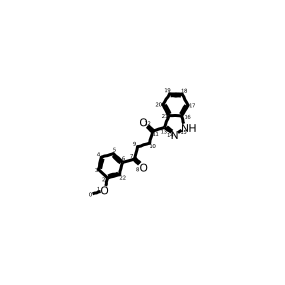 COc1cccc(C(=O)CCC(=O)c2n[nH]c3ccccc23)c1